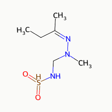 CC/C(C)=N\N(C)CN[SH](=O)=O